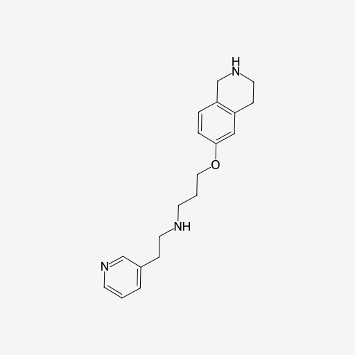 c1cncc(CCNCCCOc2ccc3c(c2)CCNC3)c1